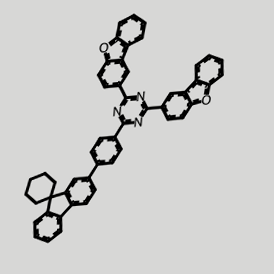 c1ccc2c(c1)-c1ccc(-c3ccc(-c4nc(-c5ccc6oc7ccccc7c6c5)nc(-c5ccc6oc7ccccc7c6c5)n4)cc3)cc1C21CCCCC1